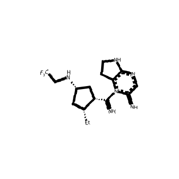 CC[C@@H]1C[C@H](NCC(F)(F)F)C[C@@H]1C(=N)n1c2c(ncc1=N)NCC2